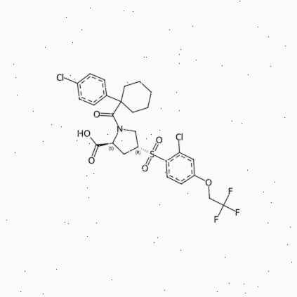 O=C(O)[C@@H]1C[C@@H](S(=O)(=O)c2ccc(OCC(F)(F)F)cc2Cl)CN1C(=O)C1(c2ccc(Cl)cc2)CCCCC1